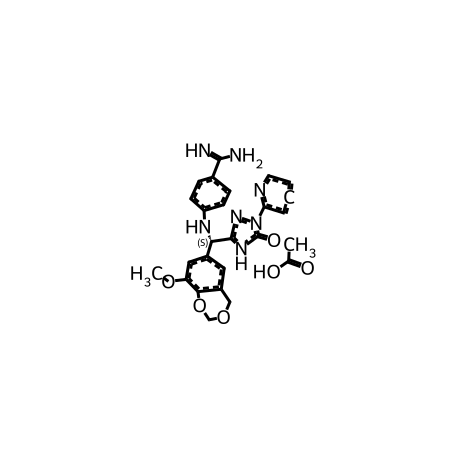 CC(=O)O.COc1cc([C@H](Nc2ccc(C(=N)N)cc2)c2nn(-c3ccccn3)c(=O)[nH]2)cc2c1OCOC2